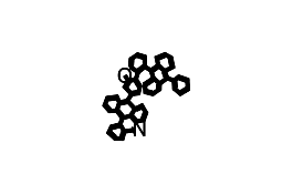 N#Cc1ccccc1-c1c2ccccc2c(-c2ccc3c(c2)oc2cccc(-c4c5ccccc5c(-c5ccccc5)c5ccccc45)c23)c2ccccc12